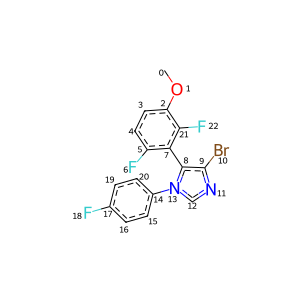 COc1ccc(F)c(-c2c(Br)ncn2-c2ccc(F)cc2)c1F